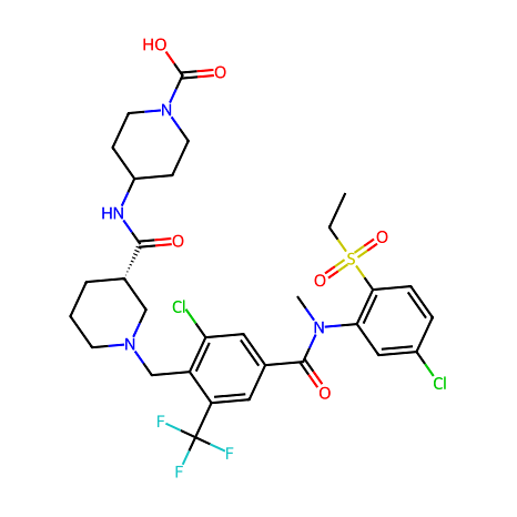 CCS(=O)(=O)c1ccc(Cl)cc1N(C)C(=O)c1cc(Cl)c(CN2CCC[C@H](C(=O)NC3CCN(C(=O)O)CC3)C2)c(C(F)(F)F)c1